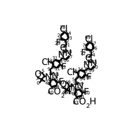 CC1(C)COCC1n1c(Cc2cc(F)c(-c3ccnc(OCc4ccc(Cl)cc4F)n3)cc2Cl)nc2c(F)cc(C(=O)O)cc21.CC1(C)COCC1n1c(Cc2cc(F)c(-c3ccnc(OCc4ccc(Cl)cc4F)n3)cc2Cl)nc2c(F)cc(C(=O)O)cc21